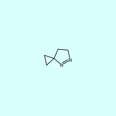 C1CC2(CC2)N=N1